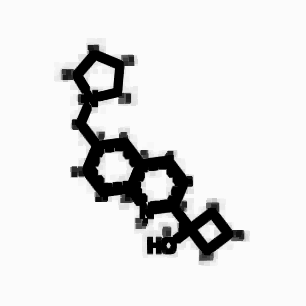 OC1(c2ccc3cc(CN4CCCC4)ccc3n2)CCC1